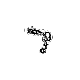 O=C(N[C@H]1CCCC[C@H]2CC[C@@H](C(=O)N3CC(Cc4ccccn4)C3)N2C1=O)c1cc2cc(C(F)(F)P(=O)(O)O)ccc2s1